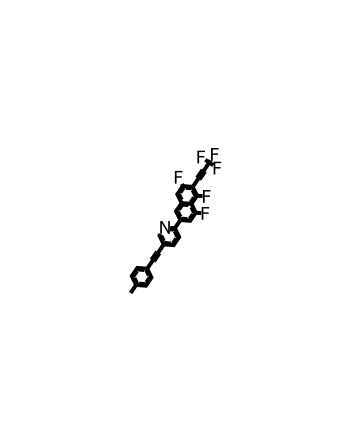 Cc1ccc(C#Cc2ccc(-c3cc(F)c4c(F)c(C#CC(F)(F)F)c(F)cc4c3)nc2)cc1